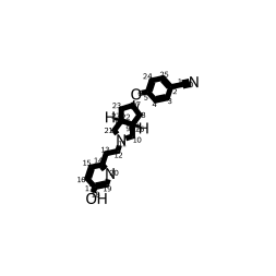 N#Cc1ccc(O[C@@H]2C[C@@H]3CN(CCc4ccc(O)cn4)C[C@@H]3C2)cc1